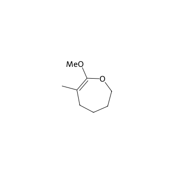 COC1=C(C)CCCCO1